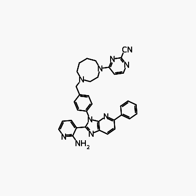 N#Cc1nccc(N2CCCCN(Cc3ccc(-n4c(-c5cccnc5N)nc5ccc(-c6ccccc6)nc54)cc3)CC2)n1